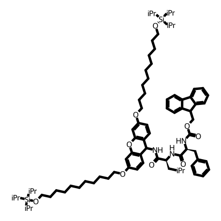 CC(C)C[C@H](NC(=O)[C@H](Cc1ccccc1)NC(=O)OCC1c2ccccc2-c2ccccc21)C(=O)NC1c2ccc(OCCCCCCCCCCCO[Si](C(C)C)(C(C)C)C(C)C)cc2Oc2cc(OCCCCCCCCCCCO[Si](C(C)C)(C(C)C)C(C)C)ccc21